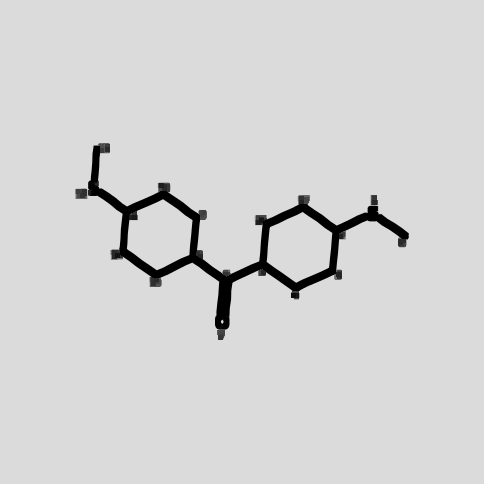 CSC1CCC(C(=O)C2CCC(SC)CC2)CC1